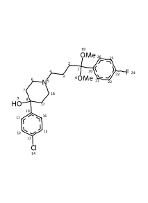 COC(CCCN1CCC(O)(c2ccc(Cl)cc2)CC1)(OC)c1ccc(F)cc1